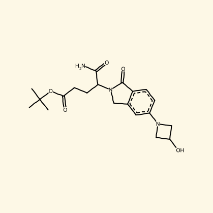 CC(C)(C)OC(=O)CCC(C(N)=O)N1Cc2cc(N3CC(O)C3)ccc2C1=O